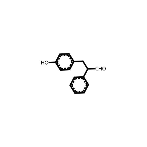 O=CC(Cc1ccc(O)cc1)c1ccccc1